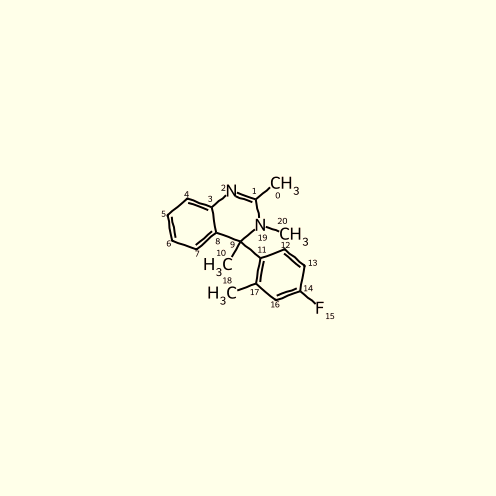 CC1=Nc2ccccc2C(C)(c2ccc(F)cc2C)N1C